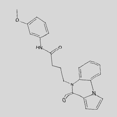 COc1cccc(NC(=O)CCCn2c(=O)c3cccn3c3ccccc32)c1